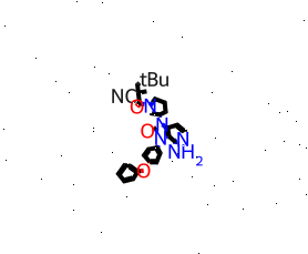 CC(C)(C)CC(C)(C#N)C(=O)N1CCC[C@@H](n2c(=O)n(-c3ccc(Oc4ccccc4)cc3)c3c(N)nccc32)C1